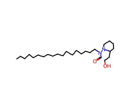 CCCCCCCCCCCCCCCCCCN(C=O)N1CCCCC1CCO